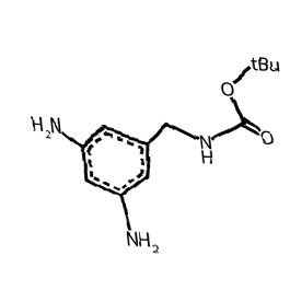 CC(C)(C)OC(=O)NCc1cc(N)cc(N)c1